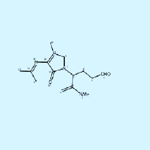 C=C(NC)C(CCC=O)N1CC(C)=C(N=C(C)C)C1=O